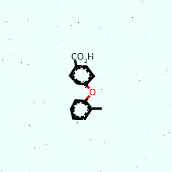 Cc1ccccc1Oc1ccc(C(=O)O)cc1